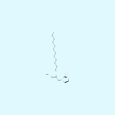 CCCCCCCCCCCCOC(CSC)Cn1ccnc1